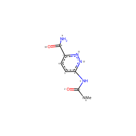 CNC(=O)Nc1ccc(C(N)=O)nn1